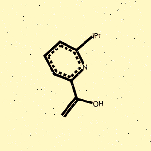 C=C(O)c1cccc(C(C)C)n1